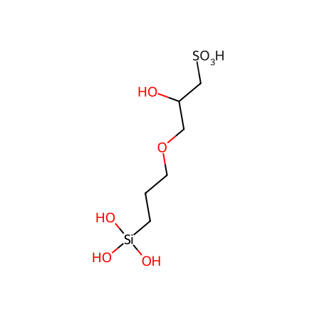 O=S(=O)(O)CC(O)COCCC[Si](O)(O)O